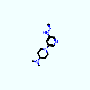 C=NNc1cncc(N2CCC(N(C)C)CC2)c1